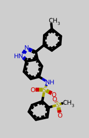 Cc1cccc(-c2n[nH]c3ccc(NS(=O)(=O)c4ccccc4S(C)(=O)=O)cc23)c1